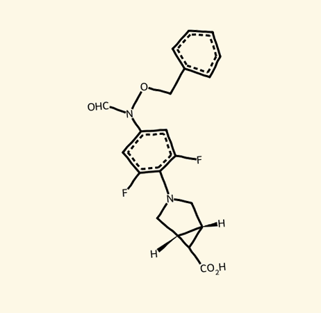 O=CN(OCc1ccccc1)c1cc(F)c(N2C[C@@H]3C(C(=O)O)[C@@H]3C2)c(F)c1